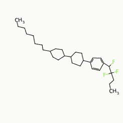 CCCCCCCCC1CCC(C2CCC(c3ccc(C(F)C(F)(F)CCC)cc3)CC2)CC1